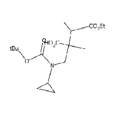 CCOC(=O)C(C)C(C)(CN(C(=O)OC(C)(C)C)C1CC1)C(=O)O